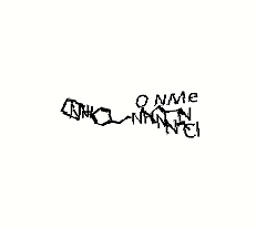 CNc1c(C(=O)NCCc2ccc(N3CC4CCC(C3)N4)cc2)cn2nc(Cl)ncc12